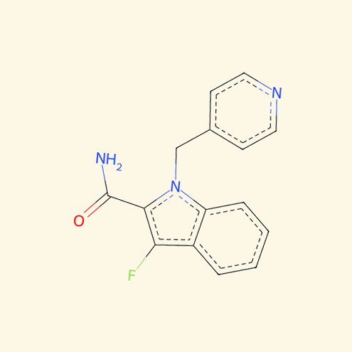 NC(=O)c1c(F)c2ccccc2n1Cc1ccncc1